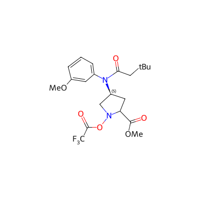 COC(=O)C1C[C@H](N(C(=O)CC(C)(C)C)c2cccc(OC)c2)CN1OC(=O)C(F)(F)F